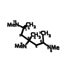 C=C(CC(C)(CC(C)NC)NC)NC